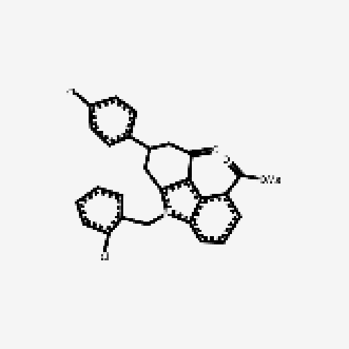 COC(=O)c1cccc2c1c1c(n2Cc2ccccc2Cl)CC(c2ccc(Cl)cc2)CC1=O